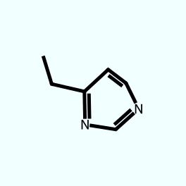 CCc1ccncn1